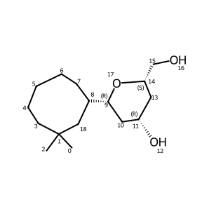 CC1(C)CCCCCC([C@H]2C[C@@H](O)C[C@@H](CO)O2)C1